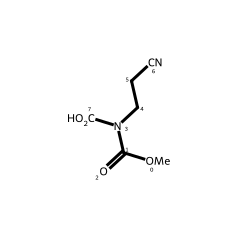 COC(=O)N(CCC#N)C(=O)O